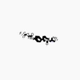 NC/C(=C\F)Cn1nc2ccc(-c3ccc(NC(=O)COC(=O)C(F)(F)F)cc3)cn2c1=O